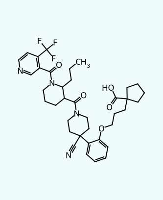 CCCC1C(C(=O)N2CCC(C#N)(c3ccccc3OCCCC3(C(=O)O)CCCC3)CC2)CCCN1C(=O)c1cnccc1C(F)(F)F